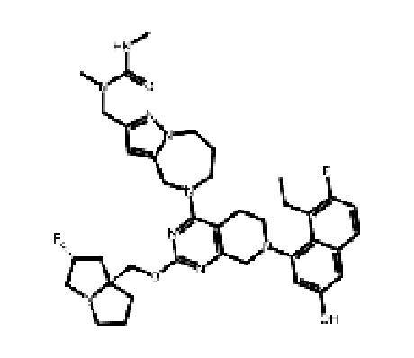 CCc1c(F)ccc2cc(O)cc(N3CCc4c(nc(OC[C@@]56CCCN5C[C@H](F)C6)nc4N4CCCn5nc(CN(C)C(=O)NC)cc5C4)C3)c12